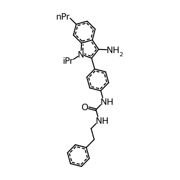 CCCc1ccc2c(N)c(-c3ccc(NC(=O)NCCc4ccccc4)cc3)n(C(C)C)c2c1